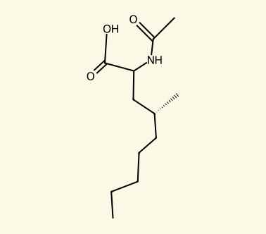 CCCCC[C@@H](C)CC(NC(C)=O)C(=O)O